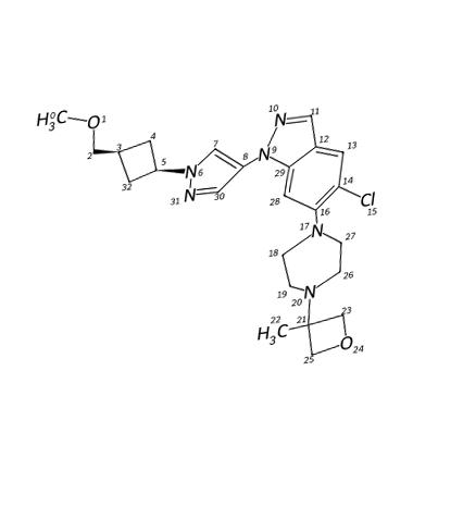 COC[C@H]1C[C@@H](n2cc(-n3ncc4cc(Cl)c(N5CCN(C6(C)COC6)CC5)cc43)cn2)C1